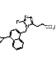 O=C(O)CCc1nnc(F)n1Cc1ccc(C2CC2)c2ccccc12